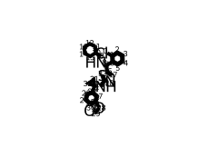 Clc1ccccc1C(NCC1CCCCC1)c1cnc(NC2(c3ccc4c(c3)OCO4)CC2)s1